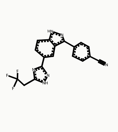 N#Cc1ccc(-c2n[nH]c3ccc(-c4n[nH]c(CC(F)(F)F)n4)cc23)cc1